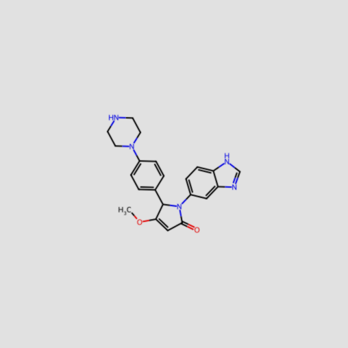 COC1=CC(=O)N(c2ccc3[nH]cnc3c2)C1c1ccc(N2CCNCC2)cc1